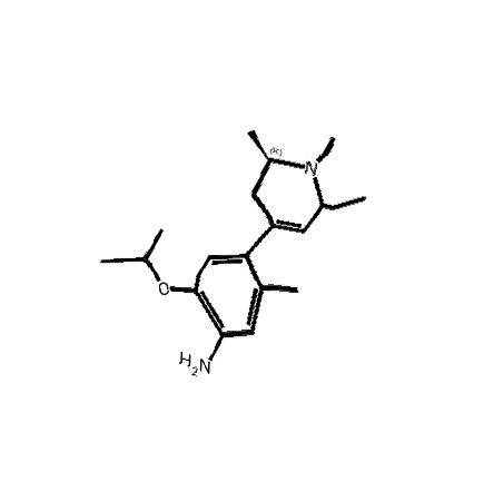 Cc1cc(N)c(OC(C)C)cc1C1=CC(C)N(C)[C@H](C)C1